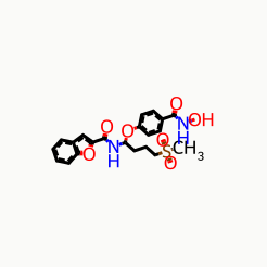 CS(=O)(=O)CCCC(NC(=O)c1cc2ccccc2o1)Oc1ccc(C(=O)NO)cc1